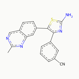 Cc1ncc2ccc(-c3sc(N)nc3-c3cccc(C#N)c3)cc2n1